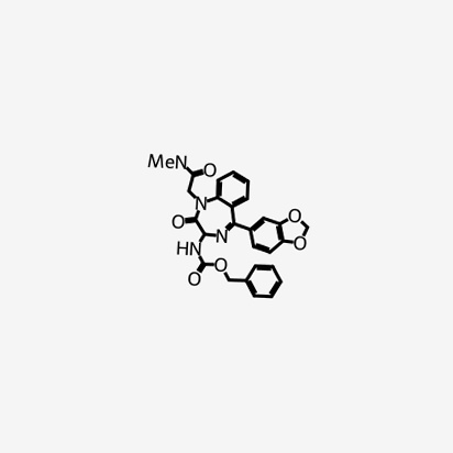 CNC(=O)CN1C(=O)C(NC(=O)OCc2ccccc2)N=C(c2ccc3c(c2)OCO3)c2ccccc21